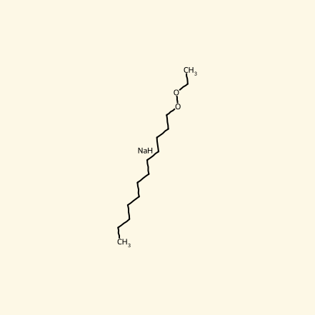 CCCCCCCCCCCCOOCC.[NaH]